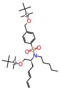 C=C/C=C/C[C@@H](CO[Si](C)(C)C(C)(C)C)N(CCCCC)S(=O)(=O)c1ccc(CO[Si](C)(C)C(C)(C)C)cc1